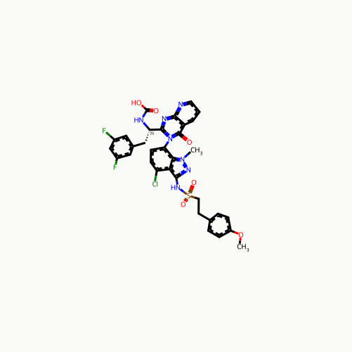 COc1ccc(CCS(=O)(=O)Nc2nn(C)c3c(-n4c([C@H](Cc5cc(F)cc(F)c5)NC(=O)O)nc5ncccc5c4=O)ccc(Cl)c23)cc1